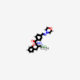 Cl.NC1(C(=O)c2ccc(C=NN3CCOCC3)cc2)Oc2ccccc2CC1CC(=O)O